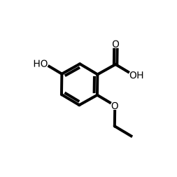 CCOc1ccc(O)cc1C(=O)O